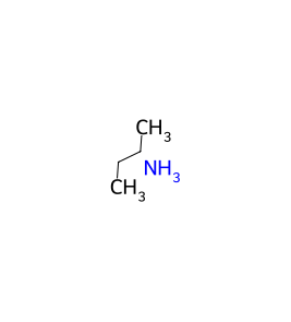 CCCC.N